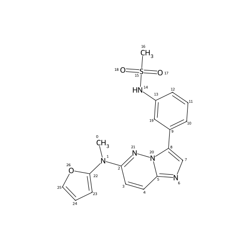 CN(c1ccc2ncc(-c3cccc(NS(C)(=O)=O)c3)n2n1)c1ccco1